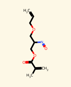 C=CCOCC(COC(=O)C(=C)C)N=O